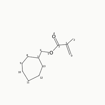 C=C(C)C(=O)OCC1CCCCCC1